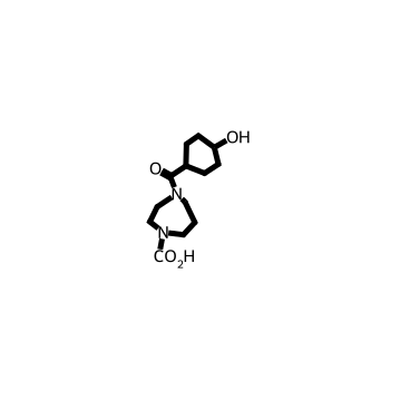 O=C(O)N1CCCN(C(=O)C2CCC(O)CC2)CC1